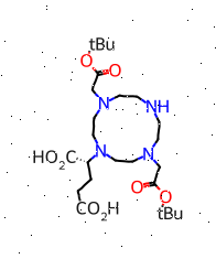 CC(C)(C)OC(=O)CN1CCNCCN(CC(=O)OC(C)(C)C)CCN([C@H](CCC(=O)O)C(=O)O)CC1